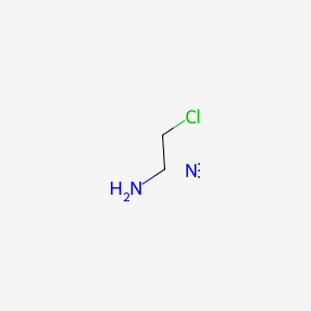 NCCCl.[N]